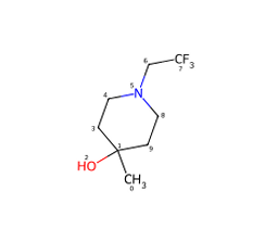 CC1(O)CCN(CC(F)(F)F)CC1